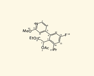 CCOC(=O)C(OC(C)=O)c1c(-c2ccnc(OC)c2)cc(F)cc1C(C)C